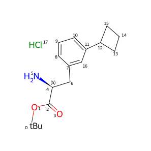 CC(C)(C)OC(=O)[C@@H](N)Cc1cccc(C2CCC2)c1.Cl